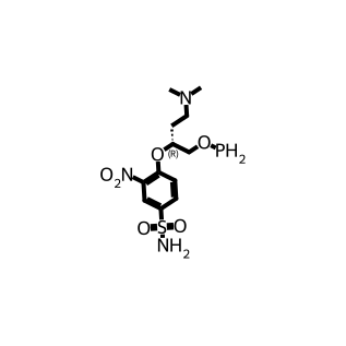 CN(C)CC[C@H](COP)Oc1ccc(S(N)(=O)=O)cc1[N+](=O)[O-]